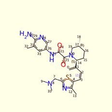 C=C(/C=C\c1sc(CN(C)C)nc1C)[C@@H]1CC[C@@H](C)CN1C(=O)C(=O)Nc1cnc(N)c(C)c1